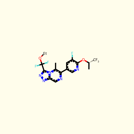 CCOC(F)(F)c1nnc2cnc(-c3cnc(O[C@@H](C)C(F)(F)F)c(F)c3)c(C)n12